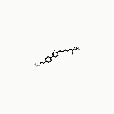 C=CCc1ccc(-c2ccc(/C=C/CCCC(C)F)nc2)cc1